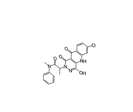 CC(C(=O)N(C)c1ccccc1)n1nc(O)c2[nH]c3cc(Cl)ccc3c(=O)c2c1=O